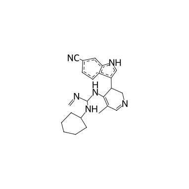 C=NC(NC1=C(C)C=NCC1c1c[nH]c2cc(C#N)ccc12)NC1CCCCC1